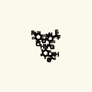 CS(=N)(=O)c1cccc(NC(=O)c2cc(C(F)F)nnc2Oc2ccc(F)cc2Cl)c1